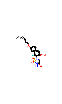 COCCCOc1ccc2cc(O)c(N3CC(=O)NS3(=O)=O)c(F)c2c1